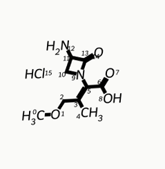 COC/C(C)=C(/C(=O)O)N1CC(N)C1=O.Cl